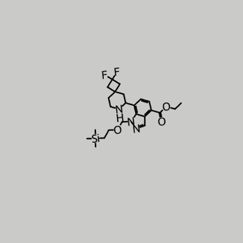 CCOC(=O)c1ccc(C2CC3(CCN2)CC(F)(F)C3)c2c1cnn2COCC[Si](C)(C)C